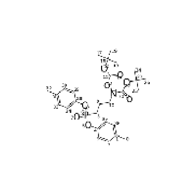 Cc1ccc(OP(=O)(CCCN(OC(=O)OC(C)(C)C)C(=O)OC(C)(C)C)Oc2ccc(C)cc2)cc1